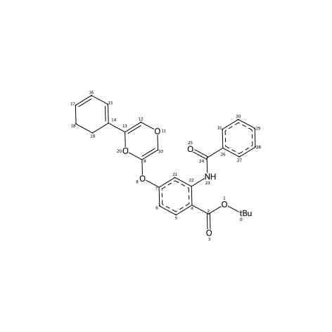 CC(C)(C)OC(=O)c1ccc(OC2=COC=C(C3=CC=CCC3)O2)cc1NC(=O)c1ccccc1